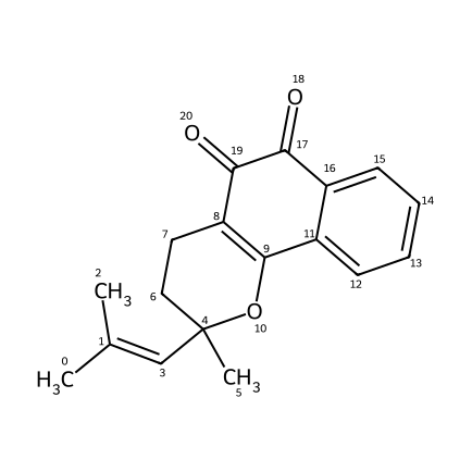 CC(C)=CC1(C)CCC2=C(O1)c1ccccc1C(=O)C2=O